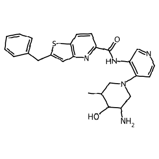 CC1CN(c2ccncc2NC(=O)c2ccc3sc(Cc4ccccc4)cc3n2)CC(N)C1O